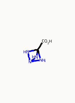 O=C(O)C12NN(N1)N2